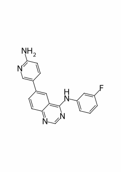 Nc1ccc(-c2ccc3ncnc(Nc4cccc(F)c4)c3c2)cn1